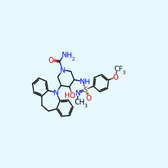 CN=S(=O)(NC1CN(C(N)=O)CC(N2c3ccccc3CCc3ccccc32)C1O)c1ccc(OC(F)(F)F)cc1